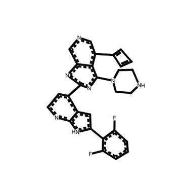 Fc1cccc(F)c1-c1cc2c(-c3nc(N4CCNCC4)c4c(C5=CC=C5)cncc4n3)ccnc2[nH]1